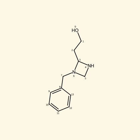 OCCC1NCN1Cc1ccccc1